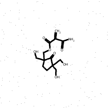 C=C(C(N)=O)C(=O)OCC1(CO)CCC(CO)(CO)C1=O